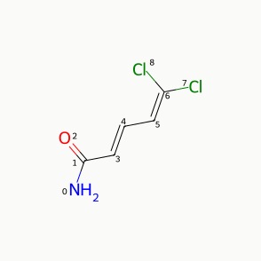 NC(=O)C=CC=C(Cl)Cl